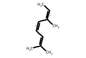 C/C=C(C)\C=C/C=C(C)C